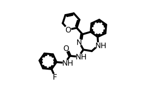 O=C(Nc1ccccc1F)NC1CNc2ccccc2C(C2=CC=CCO2)=N1